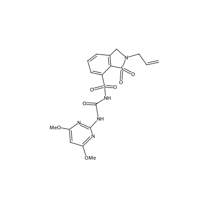 C=CCN1Cc2cccc(S(=O)(=O)NC(=O)Nc3nc(OC)cc(OC)n3)c2S1(=O)=O